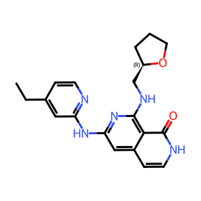 CCc1ccnc(Nc2cc3cc[nH]c(=O)c3c(NC[C@H]3CCCO3)n2)c1